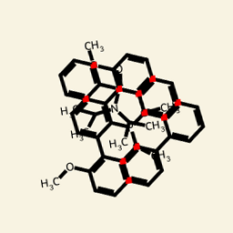 COc1cccc(OC)c1-c1cccc(-c2c(OC)cccc2OC)c1P(c1ccccc1-c1ccccc1)c1ccccc1P(=O)(c1ccccc1)N(C(C)C)C(C)C